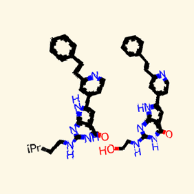 CC(C)CCNc1nc2[nH]c(-c3ccnc(C=Cc4ccccc4)c3)cc2c(=O)[nH]1.O=c1[nH]c(NCCO)nc2[nH]c(-c3ccnc(C=Cc4ccccc4)c3)cc12